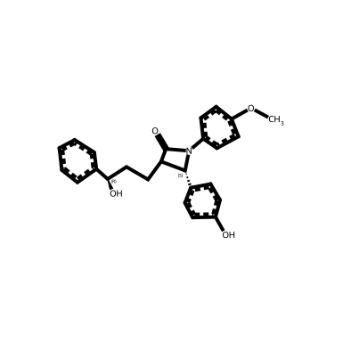 COc1ccc(N2C(=O)C(CC[C@@H](O)c3ccccc3)[C@H]2c2ccc(O)cc2)cc1